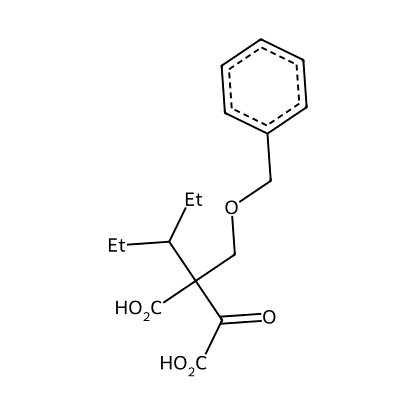 CCC(CC)C(COCc1ccccc1)(C(=O)O)C(=O)C(=O)O